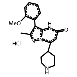 COc1ccccc1-c1c(C)nn2c(C3CCNCC3)cc(=O)[nH]c12.Cl